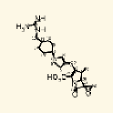 CC1C(SC2CCN(C3CCC(CNC(=N)N)CC3)C2)=C(C(=O)O)N2C(=O)C3(CO3)C12